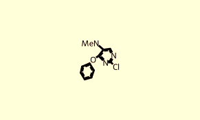 CNc1cnc(Cl)nc1Oc1ccccc1